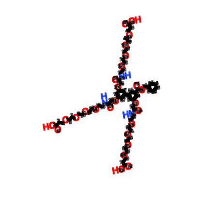 O=C(O)CCOCCOCCOCCOCCNC(=O)COc1cc(OCC(=O)NCCOCCOCCOCCOCCC(=O)O)cc(-c2cc(OCC(=O)NCCOCCOCCOCCOCCC(=O)O)cc(C(=O)OCc3ccccc3)c2)c1